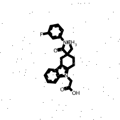 CCC1(C(=O)Nc2cccc(F)c2)CCc2c(c3ccccc3n2CC(=O)O)C1